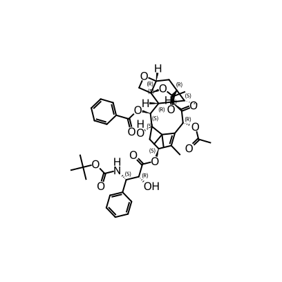 CC(=O)O[C@H]1C(=O)[C@]23[C@H](C[C@H]4OC[C@@]4(OC(C)=O)[C@H]2[C@H](OC(=O)c2ccccc2)[C@]2(O)C[C@H](OC(=O)[C@H](O)[C@@H](NC(=O)OC(C)(C)C)c4ccccc4)C(C)=C1C2(C)C)[C@@H]3C